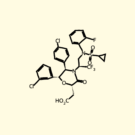 O=C(O)C[C@@H]1O[C@H](c2cccc(Cl)c2)[C@@H](c2ccc(Cl)cc2)N([C@@H](CN(c2ccccc2F)S(=O)(=O)C2CC2)C(F)(F)F)C1=O